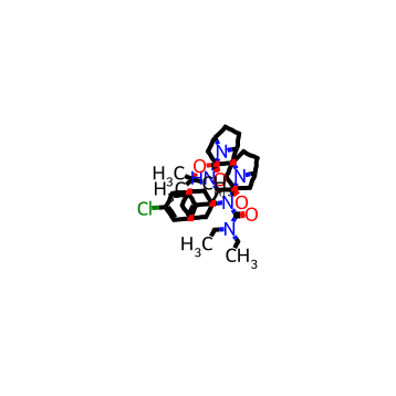 CCN(CC)C(=O)N(C1CCCCC1)C1CC2CCC(C1)N2C(=O)[C@@H](Cc1ccc(Cl)cc1)NC1CC2CCC(C1)N2C(=O)OC(C)(C)C